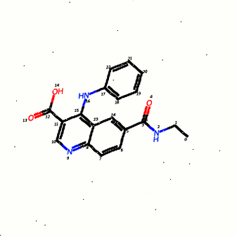 CCNC(=O)c1ccc2ncc(C(=O)O)c(Nc3ccccc3)c2c1